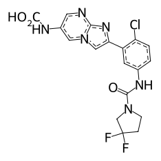 O=C(O)Nc1cnc2nc(-c3cc(NC(=O)N4CCC(F)(F)C4)ccc3Cl)cn2c1